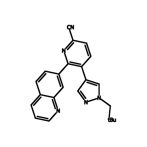 CC(C)(C)Cn1cc(-c2ccc(C#N)nc2-c2ccc3cccnc3c2)cn1